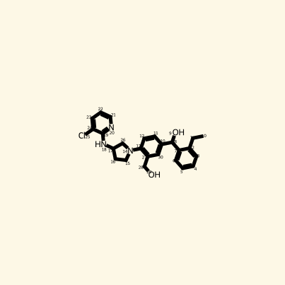 CCc1ccccc1C(O)c1ccc(N2CCC(Nc3ncccc3Cl)C2)c(CO)c1